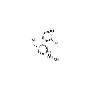 Cl.Cl.Cl.Cl.[Al][CH2]c1ccccc1.[Al][c]1ccccc1